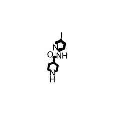 O=C(Nc1ccc(I)cn1)C1CCNCC1